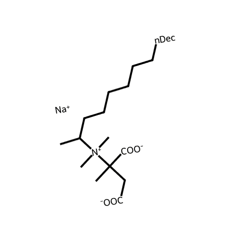 CCCCCCCCCCCCCCCCC(C)[N+](C)(C)C(C)(CC(=O)[O-])C(=O)[O-].[Na+]